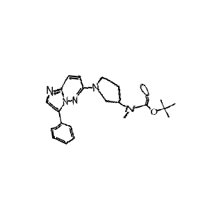 CN(C(=O)OC(C)(C)C)C1CCN(c2ccc3ncc(-c4ccccc4)n3n2)C1